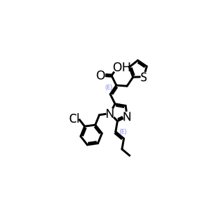 CC/C=C/c1ncc(/C=C(\Cc2cccs2)C(=O)O)n1Cc1ccccc1Cl